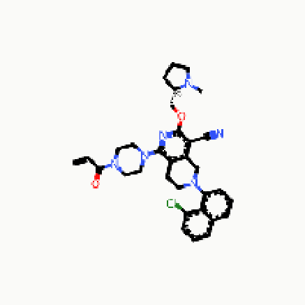 C=CC(=O)N1CCN(c2nc(OC[C@@H]3CCCN3C)c(C#N)c3c2CCN(c2cccc4cccc(Cl)c24)C3)CC1